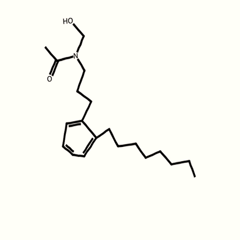 CCCCCCCCc1ccccc1CCCN(CO)C(C)=O